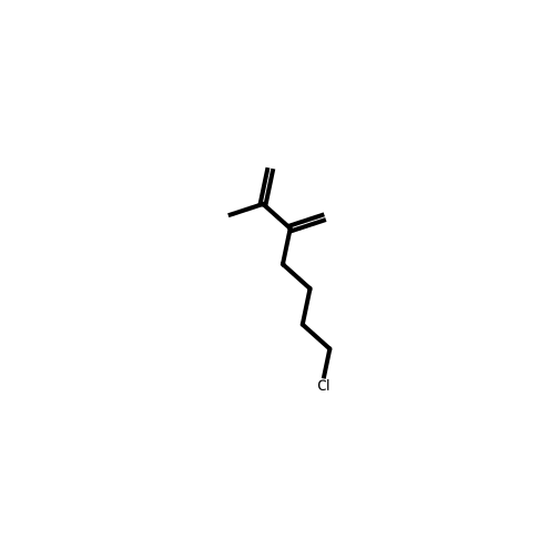 C=C(C)C(=C)CCCCCl